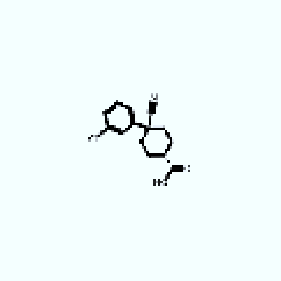 N#C[C@]1(c2cccc(Cl)c2)CC[C@@H](C(=O)O)CC1